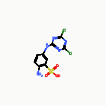 Nc1ccc(Nc2nc(Cl)nc(Cl)n2)cc1S(=O)(=O)O